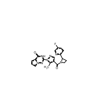 Cc1c(C(=O)N2CCC2c2ccc(F)cn2)cnn1-c1nn2cccc2c(=O)[nH]1